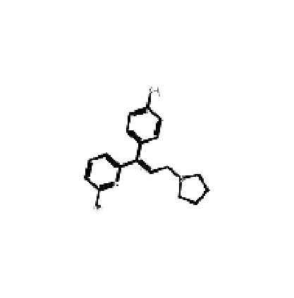 C[CH]Cc1cccc(/C(=C/CN2CCCC2)c2ccc(C)cc2)n1